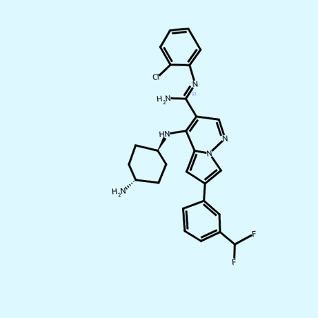 N/C(=N\c1ccccc1Cl)c1cnn2cc(-c3cccc(C(F)F)c3)cc2c1N[C@H]1CC[C@H](N)CC1